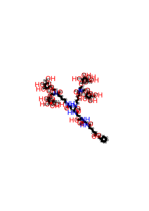 O=C(CC[C@H](NC(=O)CC[C@H](NC(=O)CNC(=O)CCCCC(=O)OCc1ccccc1)C(=O)O)C(=O)NCCCCCC(=O)N(CCO[C@H]1O[C@H](CO)[C@@H](O)[C@H](O)[C@@H]1O)CCO[C@H]1O[C@H](CO)[C@@H](O)[C@H](O)[C@@H]1O)NCCCCCC(=O)N(CCO[C@H]1O[C@H](CO)[C@@H](O)[C@H](O)[C@@H]1O)CCO[C@H]1O[C@H](CO)[C@@H](O)[C@H](O)[C@@H]1O